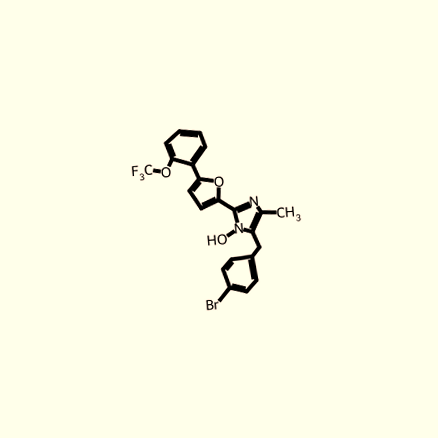 Cc1nc(-c2ccc(-c3ccccc3OC(F)(F)F)o2)n(O)c1Cc1ccc(Br)cc1